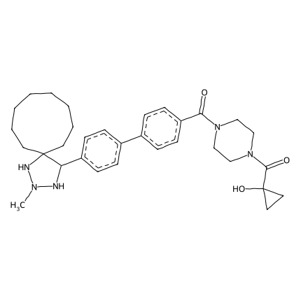 CN1NC(c2ccc(-c3ccc(C(=O)N4CCN(C(=O)C5(O)CC5)CC4)cc3)cc2)C2(CCCCCCCC2)N1